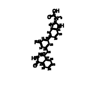 CN(C(=O)O)c1nc2cc(-c3cc(F)cc(Cc4n[nH]c(=O)c5ccccc45)c3)ccc2[nH]1